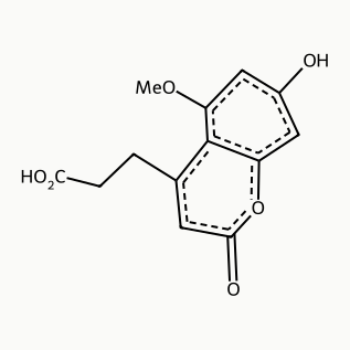 COc1cc(O)cc2oc(=O)cc(CCC(=O)O)c12